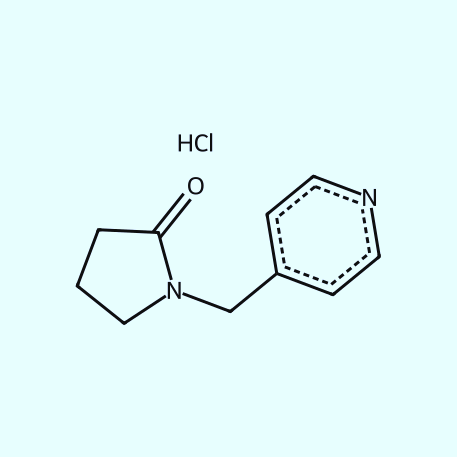 Cl.O=C1CCCN1Cc1ccncc1